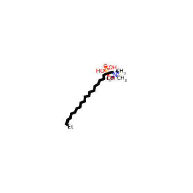 CC/C=C\CCCCCCCCCCCCCCCCC(O)(C[N+](C)(C)C)P(=O)(O)O